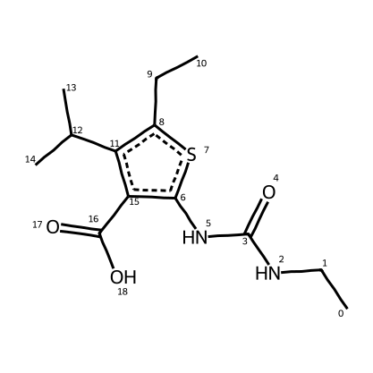 CCNC(=O)Nc1sc(CC)c(C(C)C)c1C(=O)O